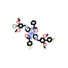 CCOc1cc(CN2CCC(N(c3nc(-c4ccc(F)cc4)co3)N(c3nc(-c4ccccc4)co3)C3CCN(Cc4cc(OCC)c(-c5ccc(F)cc5)c(OCC)c4)CC3)CC2)cc(OCC)c1Cl